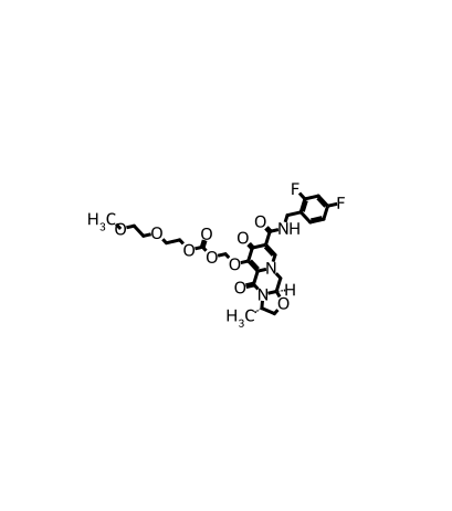 COCCOCCOC(=O)OCOc1c2n(cc(C(=O)NCc3ccc(F)cc3F)c1=O)C[C@H]1OC[C@H](C)N1C2=O